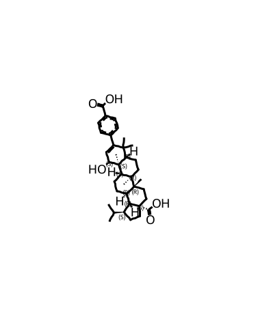 CC(C)[C@@H]1CC[C@]2(C(=O)O)CC[C@]3(C)[C@H](CC[C@@H]4[C@@]5(C)[C@@H](O)C=C(c6ccc(C(=O)O)cc6)C(C)(C)[C@@H]5CC[C@]43C)[C@@H]12